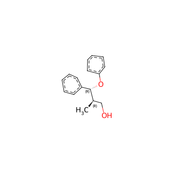 C[C@H](CO)[C@@H](Oc1ccccc1)c1ccccc1